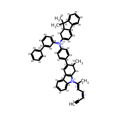 C#C/C=C\C=C(/C)n1c2c(c3ccccc31)C=C(c1ccc(N(C3=CC=C4c5ccccc5C(C)(C)C4C3)c3cccc(-c4ccccc4)c3)cc1)C(C)C2